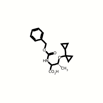 C[C@@H](OC1(C2CC2)CC1)C(NC(=O)OCc1ccccc1)C(=O)O